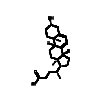 CC(C)C(=O)CC[C@@H](C)[C@H]1CC[C@H]2C3=CC=C4C[C@@H](O)CC[C@]4(C)[C@H]3CC[C@]12C